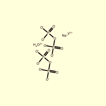 O=P([O-])([O-])OP(=O)([O-])[O-].O=P([O-])([O-])OP(=O)([O-])[O-].[Na+].[OH4+2].[V+5]